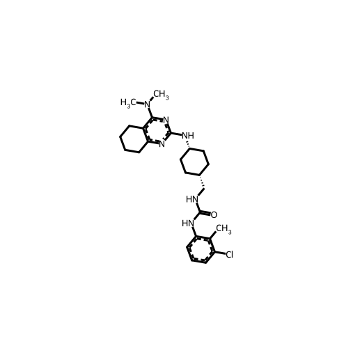 Cc1c(Cl)cccc1NC(=O)NC[C@H]1CC[C@@H](Nc2nc3c(c(N(C)C)n2)CCCC3)CC1